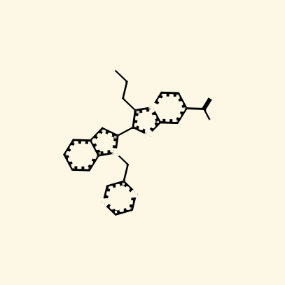 CCCc1c(-c2cc3ccccc3n2Cc2cnccn2)nc2cc(C(=O)O)ccn12